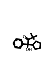 CC(C)(C)C(=O)C(O)(c1ccccc1)C1CCCC1